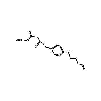 C=CCCCNc1ccc(COC(=O)CC(=O)ONC(C)=O)cc1